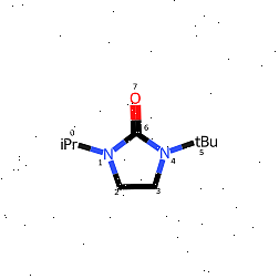 CC(C)N1CCN(C(C)(C)C)C1=O